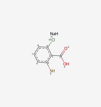 O=C(O)c1c(S)cccc1Cl.[NaH]